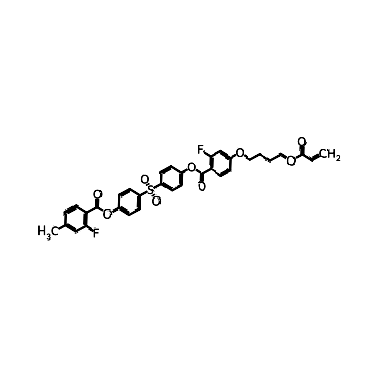 C=CC(=O)OCCCCOc1ccc(C(=O)Oc2ccc(S(=O)(=O)c3ccc(OC(=O)c4ccc(C)cc4F)cc3)cc2)c(F)c1